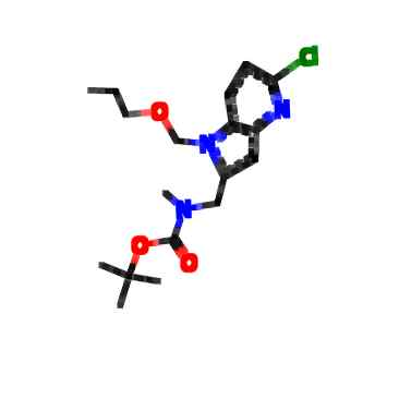 CCCOCn1c(CN(C)C(=O)OC(C)(C)C)cc2nc(Cl)ccc21